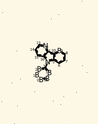 b1bbc(-n2c3cccbc3c3ncccc32)bb1